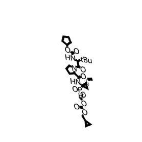 C=C[C@@H]1C[C@]1(NC(=O)C1CCCN1C(=O)C(NC(=O)OC1CCCC1)C(C)(C)C)[PH](=O)OCOC(=O)OCC1CC1